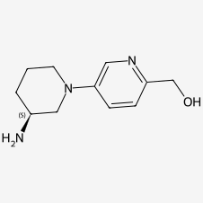 N[C@H]1CCCN(c2ccc(CO)nc2)C1